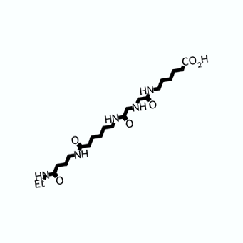 CCNC(=O)CCCNC(=O)CCCCCNC(=O)CNCC(=O)NCCCCCC(=O)O